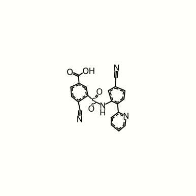 N#Cc1ccc(-c2ccccn2)c(NS(=O)(=O)c2cc(C(=O)O)ccc2C#N)c1